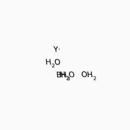 B.O.O.O.[Y]